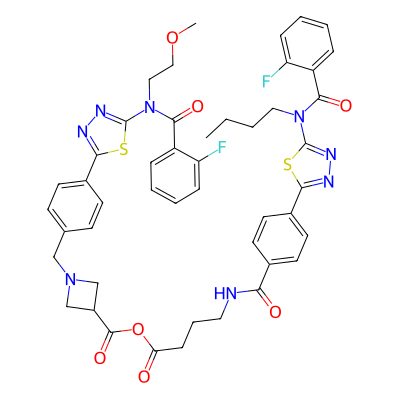 CCCCN(C(=O)c1ccccc1F)c1nnc(-c2ccc(C(=O)NCCCC(=O)OC(=O)C3CN(Cc4ccc(-c5nnc(N(CCOC)C(=O)c6ccccc6F)s5)cc4)C3)cc2)s1